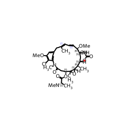 CN[C@@H](C)C(=O)O[C@H]1CC(=O)N(C)c2cc(cc(OC)c2Cl)C/C(C)=C/C=C/[C@@H](OC)[C@@]2(O)C[C@H](OC(=O)N2)[C@@H](C)[C@@H]2OC12C